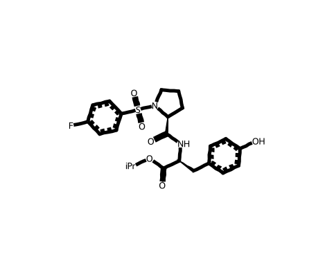 CC(C)OC(=O)[C@H](Cc1ccc(O)cc1)NC(=O)[C@@H]1CCCN1S(=O)(=O)c1ccc(F)cc1